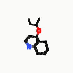 CCC(C)Oc1ccnc2ccccc12